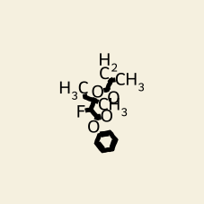 C=C(C)C(=O)OC(C)(CC)C(F)C(=O)Oc1ccccc1